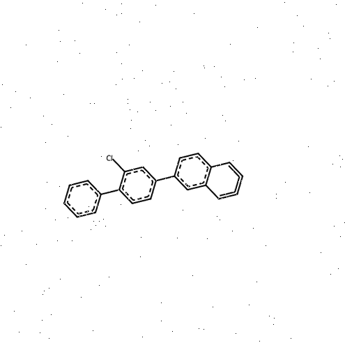 Clc1cc(-c2ccc3c(c2)C=C=C=C3)ccc1-c1ccccc1